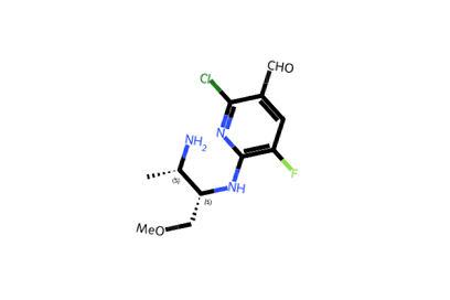 COC[C@@H](Nc1nc(Cl)c(C=O)cc1F)[C@H](C)N